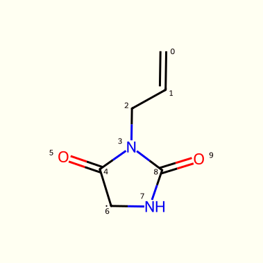 C=CCN1C(=O)[CH]NC1=O